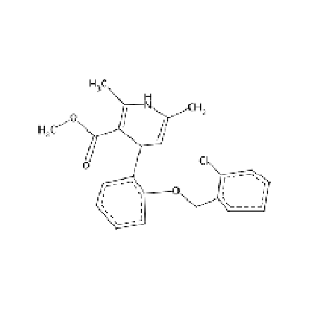 COC(=O)C1=C(C)NC(C)=CC1c1ccccc1OCc1ccccc1Cl